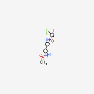 CCOC(=O)c1n[nH]c2cc(-c3ccc(NC(=O)c4ccc(I)c(C(F)(F)F)c4)cc3)ccc12